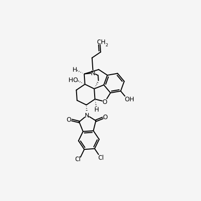 C=CCN1CC[C@]23c4c5ccc(O)c4O[C@H]2[C@H](N2C(=O)c4cc(Cl)c(Cl)cc4C2=O)CC[C@@]3(O)[C@H]1C5